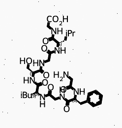 CC[C@H](C)[C@H](NC(=O)CNC(=O)[C@H](Cc1ccccc1)NC(=O)CN)C(=O)N[C@@H](CO)C(=O)NCC(=O)N[C@@H](CC(C)C)C(=O)NCC(=O)O